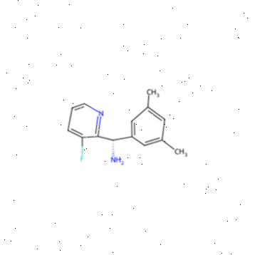 Cc1cc(C)cc([C@H](N)c2ncccc2F)c1